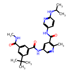 CNC(=O)c1cc(C(=O)Nc2cnc(C)c(C(=O)Nc3ccc(NC(C)C)nc3)c2)cc(C(C)(C)C)c1